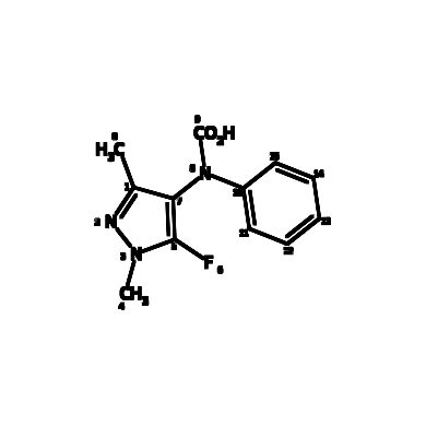 Cc1nn(C)c(F)c1N(C(=O)O)c1ccccc1